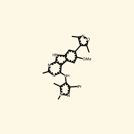 COc1cc2c(cc1-c1c(C)noc1C)[nH]c1nc(C)nc(Nc3c(C(C)C)nn(C)c3C)c12